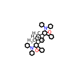 CC1(C)c2cc(N(c3ccccc3)c3ccccc3)c3oc4ccccc4c3c2-c2ccc3c(c21)C(C)(C)c1cc(N(c2ccccc2)c2ccccc2)c2oc4ccccc4c2c1-3